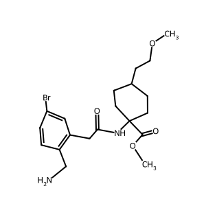 COCCC1CCC(NC(=O)Cc2cc(Br)ccc2CN)(C(=O)OC)CC1